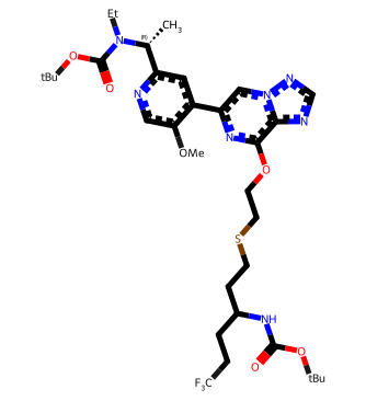 CCN(C(=O)OC(C)(C)C)[C@H](C)c1cc(-c2cn3ncnc3c(OCCSCCC(CCC(F)(F)F)NC(=O)OC(C)(C)C)n2)c(OC)cn1